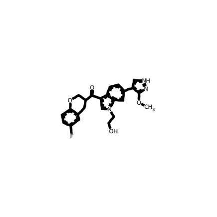 COc1n[nH]cc1-c1ccc2c(C(=O)C3COc4ccc(F)cc4C3)cn(CCO)c2c1